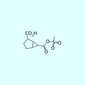 CS(=O)(=O)OC(=O)C1C2CCC(C(=O)O)C21